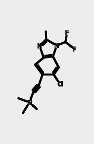 Cc1nc2cc(C#C[Si](C)(C)C)c(Cl)cc2n1C(F)F